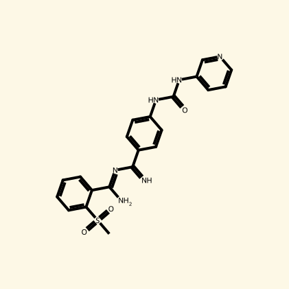 CS(=O)(=O)c1ccccc1/C(N)=N/C(=N)c1ccc(NC(=O)Nc2cccnc2)cc1